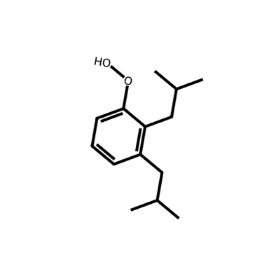 CC(C)Cc1cccc(OO)c1CC(C)C